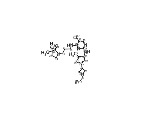 Cc1nn(C2CN(CC(C)C)C2)cc1Nc1ncc(Cl)c(NCCCN2CCC(C)(C)C2=O)n1